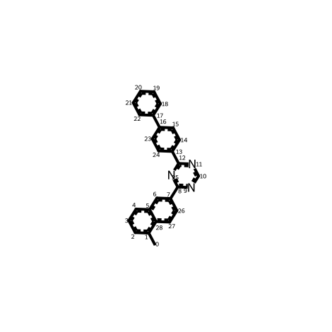 Cc1cccc2cc(-c3ncnc(-c4ccc(-c5ccccc5)cc4)n3)ccc12